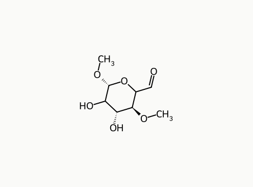 CO[C@@H]1OC(C=O)[C@@H](OC)[C@H](O)C1O